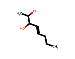 CCCC=CC(O)C(C)O